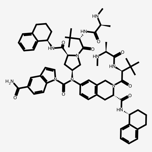 CN[C@@H](C)C(=O)N[C@H](C(=O)N1Cc2cc(N(C(=O)n3ccc4cc(C(N)=O)ccc43)[C@H]3C[C@@H](C(=O)N[C@@H]4CCCc5ccccc54)N(C(=O)[C@@H](NC(=O)[C@H](C)NC)C(C)(C)C)C3)ccc2C[C@H]1C(=O)N[C@@H]1CCCc2ccccc21)C(C)(C)C